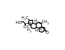 CC1=C[C@H]2[C@@H]3CC(C)[C@H](C(=O)CO)[C@@]3(C)CC[C@@H]2[C@@]2(C)CCC(=O)C=C12